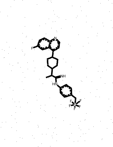 CC(C(=N)Nc1ccc(CS(F)(F)(F)(F)F)cc1)C1CCC(c2ccnc3ccc(F)cc23)CC1